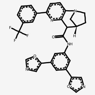 O=C(Nc1cc(-c2cnco2)cc(-c2cnco2)c1)C1c2nc(-c3cccc(C(F)(F)F)c3)ccc2N2CC[C@H]1C2